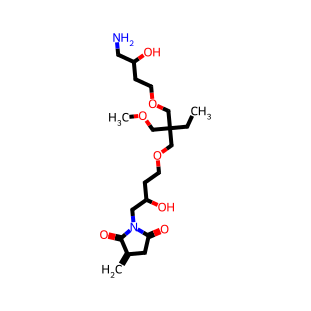 C=C1CC(=O)N(CC(O)CCOCC(CC)(COC)COCCC(O)CN)C1=O